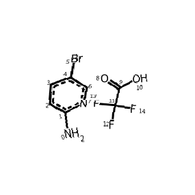 Nc1ccc(Br)cn1.O=C(O)C(F)(F)F